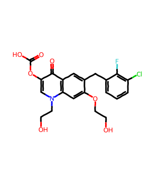 O=C(O)Oc1cn(CCO)c2cc(OCCO)c(Cc3cccc(Cl)c3F)cc2c1=O